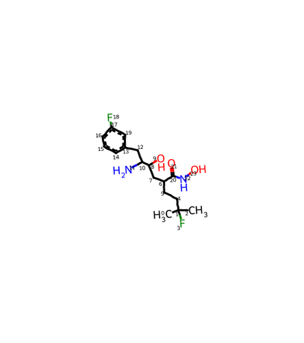 CC(C)(F)CCC(CC(O)C(N)Cc1cccc(F)c1)C(=O)NO